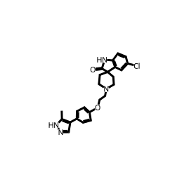 Cc1[nH]ncc1-c1ccc(OCCN2CCC3(CC2)C(=O)Nc2ccc(Cl)cc23)cc1